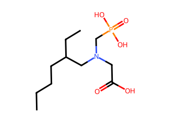 CCCCC(CC)CN(CC(=O)O)CP(=O)(O)O